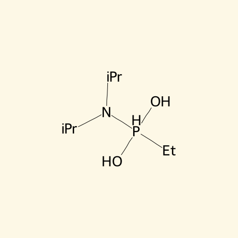 CC[PH](O)(O)N(C(C)C)C(C)C